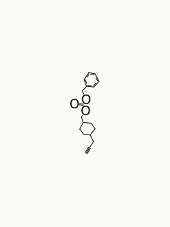 C#CCC1CCC(COC(=O)OCc2ccccc2)CC1